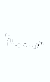 O=[N+]([O-])c1cn2c(n1)OC(COc1ccc(N3CCC(CCOc4ncc(C(F)(F)F)cc4Cl)CC3)cc1)CC2